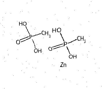 CP(=O)(O)O.CP(=O)(O)O.[Zn]